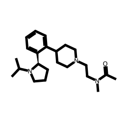 CC(=O)N(C)CCN1CCC(c2ccccc2[C@H]2CCCN2C(C)C)CC1